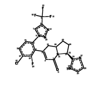 O=C1C=C(c2c(-n3cc(C(F)(F)F)nn3)ccc(Cl)c2F)CC2CC[C@@H](c3ncc[nH]3)N12